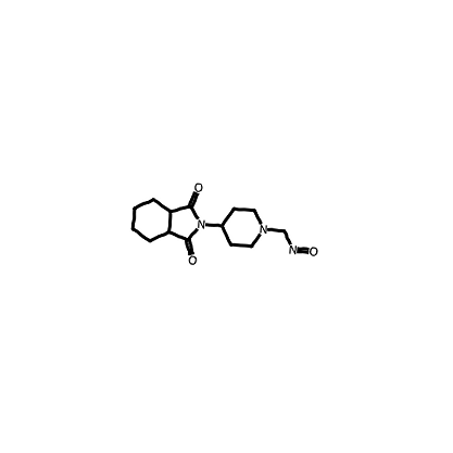 O=NCN1CCC(N2C(=O)C3CCCCC3C2=O)CC1